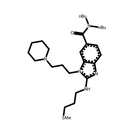 CCCCN(CCCC)C(=O)c1ccc2nc(NCCCSC)n(CCCN3CCCCC3)c2c1